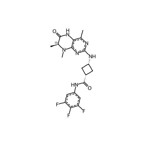 Cc1nc(N[C@H]2C[C@@H](C(=O)Nc3cc(F)c(F)c(F)c3)C2)nc2c1NC(=O)[C@H](C)N2C